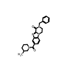 CC1CCCN(C(=O)c2ccc3c(c2)nc2n3CCN(Cc3ccccc3)C2=O)C1